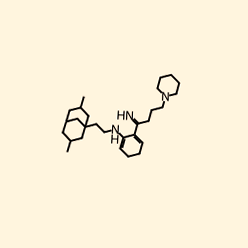 CC1CC2CC(C)CC(CCNC3=CCCC=C3C(=N)CCCN3CCCCC3)(C1)C2